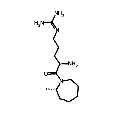 C[C@H]1CCCCCN1C(=O)[C@H](N)CCCN=C(N)N